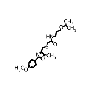 COc1ccc(-c2nc(CSCC(=O)NCCCOC(C)C)c(C)o2)cc1